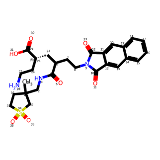 CC1(CNC(=O)C(CCN2C(=O)c3cc4ccccc4cc3C2=O)C[C@H](CCN)C(=O)O)CCS(=O)(=O)C1